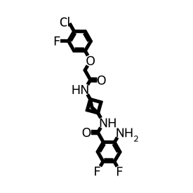 Nc1cc(F)c(F)cc1C(=O)NC12CC(NC(=O)COc3ccc(Cl)c(F)c3)(C1)C2